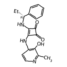 CC[C@@H](Nc1c(Nc2ccnc(C)c2O)c(=O)c1=O)c1ccccc1